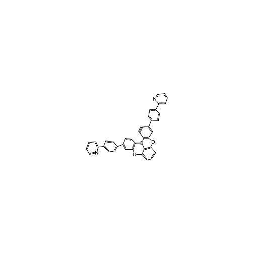 c1c(-c2ccc(-c3ccccn3)cc2)cc2c(c#1)B1c3ccc(-c4ccc(-c5ccccn5)cc4)cc3Oc3cccc(c31)O2